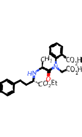 CCOC(=O)[C@H](CCc1ccccc1)N[C@@H](C)C(=O)N(CC(=O)O)c1ccccc1C(=O)O